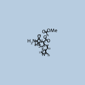 COC(=O)COC(=O)C1=C(/C=C\c2scnc2C)CS[C@@H]2C(N)C(=O)N12